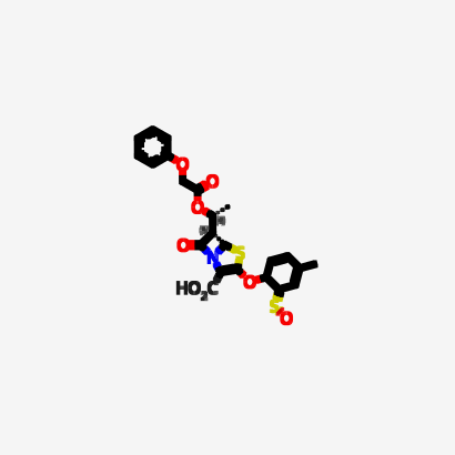 CC1=CC(=S=O)C(OC2=C(C(=O)O)N3C(=O)[C@H]([C@@H](C)OC(=O)COc4ccccc4)C3S2)C=C1